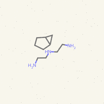 C1CC2CC2C1.NCCNCCN